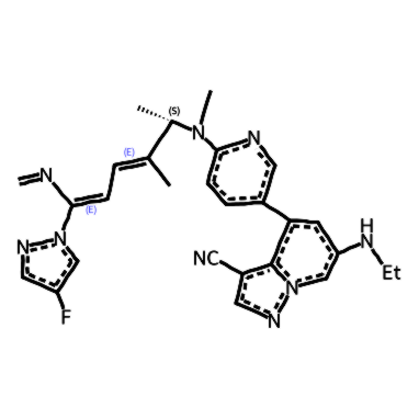 C=N/C(=C\C=C(/C)[C@H](C)N(C)c1ccc(-c2cc(NCC)cn3ncc(C#N)c23)cn1)n1cc(F)cn1